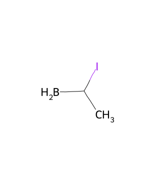 BC(C)I